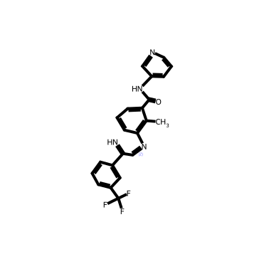 Cc1c(/N=C\C(=N)c2cccc(C(F)(F)F)c2)cccc1C(=O)Nc1cccnc1